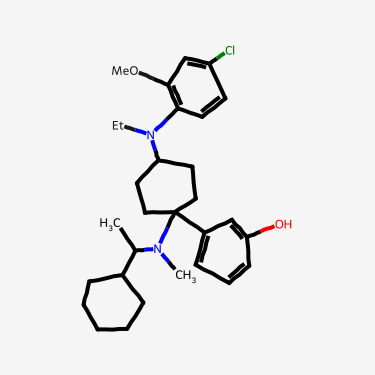 CCN(c1ccc(Cl)cc1OC)C1CCC(c2cccc(O)c2)(N(C)C(C)C2CCCCC2)CC1